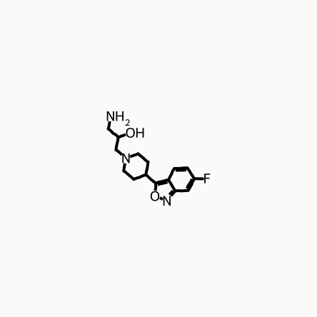 NCC(O)CN1CCC(c2onc3cc(F)ccc23)CC1